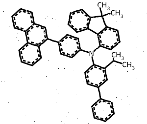 CC(C)c1cc(-c2ccccc2)ccc1N(c1ccc(-c2cc3ccccc3c3ccccc23)cc1)c1cccc2c1-c1ccccc1C2(C)C